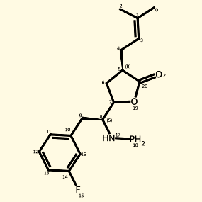 CC(C)=CC[C@@H]1CC([C@H](Cc2cccc(F)c2)NP)OC1=O